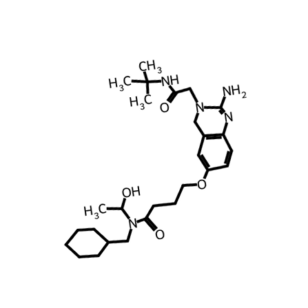 CC(O)N(CC1CCCCC1)C(=O)CCCOc1ccc2c(c1)CN(CC(=O)NC(C)(C)C)C(N)=N2